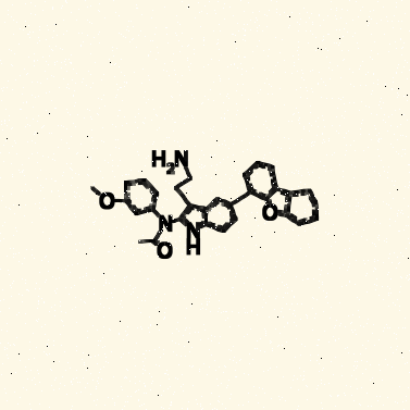 COc1cccc(N(C(C)=O)c2[nH]c3ccc(-c4cccc5c4oc4ccccc45)cc3c2CCN)c1